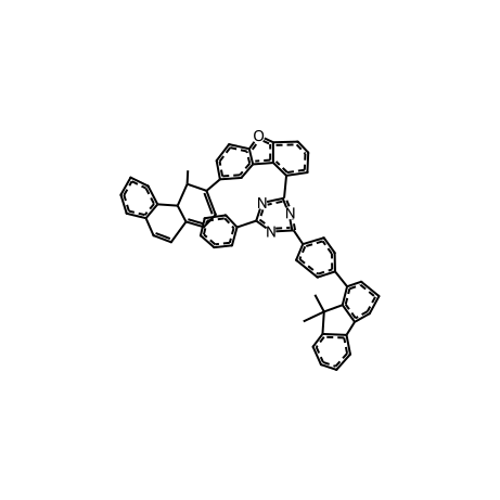 CC1C(c2ccc3oc4cccc(-c5nc(-c6ccccc6)nc(-c6ccc(-c7cccc8c7C(C)(C)c7ccccc7-8)cc6)n5)c4c3c2)=CC=C2C=Cc3ccccc3C21